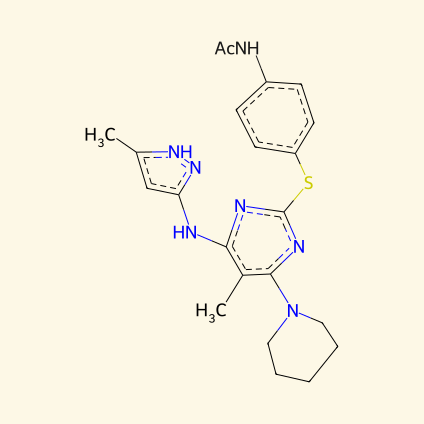 CC(=O)Nc1ccc(Sc2nc(Nc3cc(C)[nH]n3)c(C)c(N3CCCCC3)n2)cc1